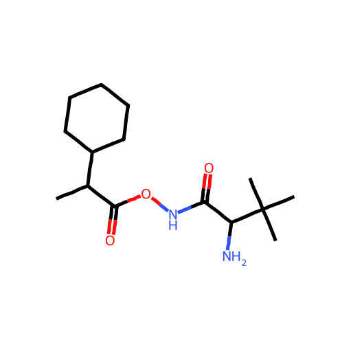 CC(C(=O)ONC(=O)C(N)C(C)(C)C)C1CCCCC1